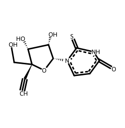 C#C[C@]1(CO)O[C@@H](n2ccc(=O)[nH]c2=S)[C@@H](O)[C@H]1O